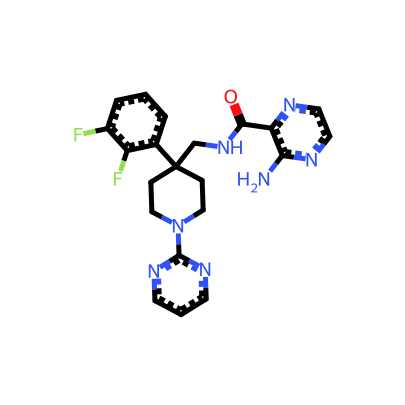 Nc1nccnc1C(=O)NCC1(c2cccc(F)c2F)CCN(c2ncccn2)CC1